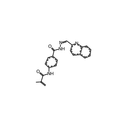 C=C(C)C(=O)Nc1ccc(C(=O)N/N=C\c2ccc3ccccc3n2)cc1